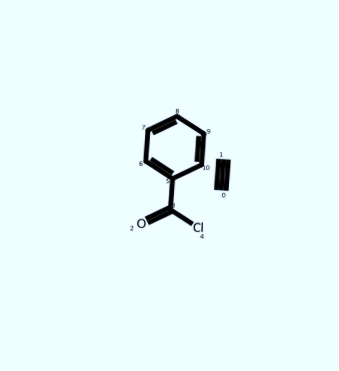 C#C.O=C(Cl)c1ccccc1